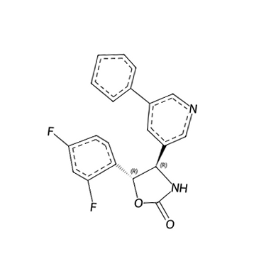 O=C1N[C@H](c2cncc(-c3ccccc3)c2)[C@@H](c2ccc(F)cc2F)O1